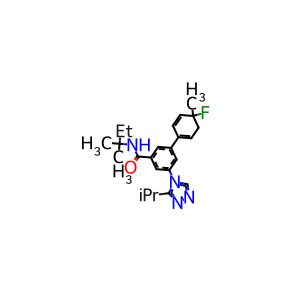 CCC(C)(C)NC(=O)c1cc(C2=CCC(C)(F)C=C2)cc(-n2cnnc2C(C)C)c1